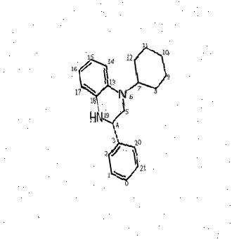 c1ccc(C2CN(C3CCCCC3)c3ccccc3N2)cc1